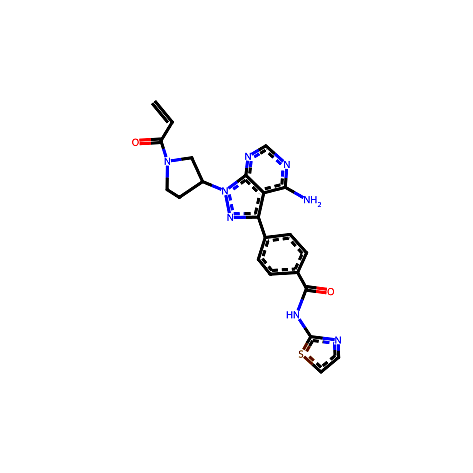 C=CC(=O)N1CCC(n2nc(-c3ccc(C(=O)Nc4nccs4)cc3)c3c(N)ncnc32)C1